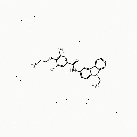 CCn1c2ccccc2c2cc(NC(=O)c3cc(C)c(OCCN)c(Cl)c3)ccc21